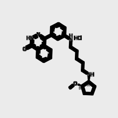 CO[C@H]1CCC[C@@H]1NCCCCCNc1cccc(-c2n[nH]c(=O)c3ccccc23)c1.Cl